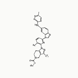 CC(=O)c1ccc(-n2cnc3ccc(Nc4ccc(C)nn4)cc32)nc1-n1nc(C(F)(F)F)c2c1CCN(C(=O)OC(C)(C)C)C2